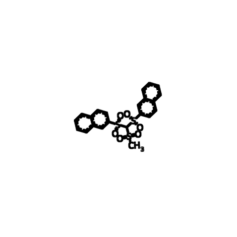 CS(=O)(=O)C(S(=O)(=O)c1ccc2ccccc2c1)S(=O)(=O)c1ccc2ccccc2c1